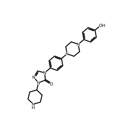 O=c1n(-c2ccc(N3CCN(c4ccc(O)cc4)CC3)cc2)cnn1C1CCNCC1